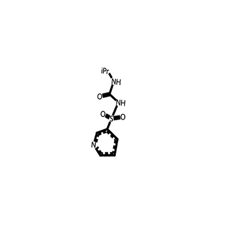 CC(C)NC(=O)NS(=O)(=O)c1cccnc1